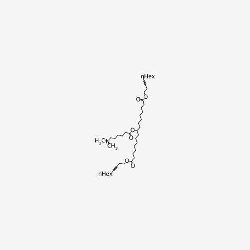 CCCCCCC#CCCOC(=O)CCCCCCCC(CCCCCCCC(=O)OCCC#CCCCCCC)OC(=O)CCCCCN(C)C